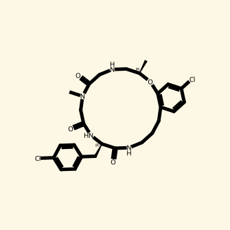 C[C@@H]1CNCC(=O)N(C)CC(=O)N[C@H](Cc2ccc(Cl)cc2)C(=O)NCCCc2ccc(Cl)cc2O1